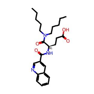 CCCCCN(CCCCC)C(=O)[C@@H](CCC(=O)O)NC(=O)c1cnc2ccccc2c1